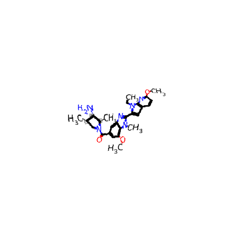 CCn1c(-c2nc3cc(C(=O)N4C[C@H](C)[C@H](N)[C@@H]4C)cc(OC)c3n2C)cc2ccc(OC)nc21